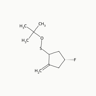 C=C1C[C@@H](F)CC1SOC(C)(C)C